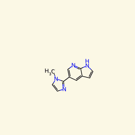 Cn1ccnc1-c1cnc2[nH]ccc2c1